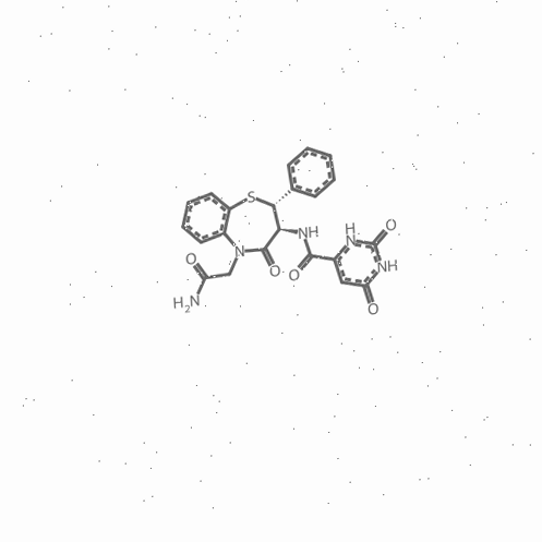 NC(=O)CN1C(=O)[C@H](NC(=O)c2cc(=O)[nH]c(=O)[nH]2)[C@@H](c2ccccc2)Sc2ccccc21